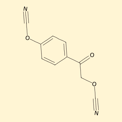 N#COCC(=O)c1ccc(OC#N)cc1